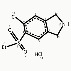 CCS(=O)(=O)c1cc2c(cc1Cl)CNC2.Cl